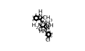 Cc1[nH]c2ccccc2c1CNc1[nH]nc(Nc2cccc(Cl)c2)c1C(N)=O